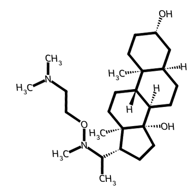 CC([C@H]1CC[C@]2(O)[C@@H]3CC[C@@H]4C[C@@H](O)CC[C@]4(C)[C@H]3CC[C@]12C)N(C)OCCN(C)C